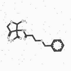 CC1OCC(=O)C1(NC(=O)[CH]CSCc1ccccc1)C(N)=O